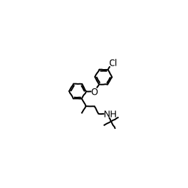 CC(CCNC(C)(C)C)c1ccccc1Oc1ccc(Cl)cc1